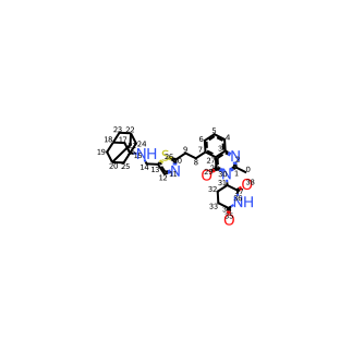 Cc1nc2cccc(CCc3ncc(CNC45CC6CC(CC(C6)C4)C5)s3)c2c(=O)n1C1CCC(=O)NC1=O